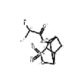 O=C(OC1C2CC3C1OS(=O)(=O)C3C2)C(F)F